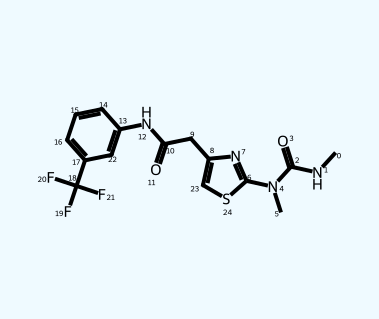 CNC(=O)N(C)c1nc(CC(=O)Nc2cccc(C(F)(F)F)c2)cs1